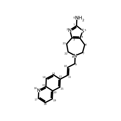 Nc1nc2c(s1)CCN(CC=Cc1ccc3ncccc3c1)CC2